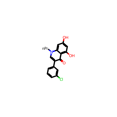 CCCn1cc(-c2cccc(Cl)c2)c(=O)c2c(O)cc(O)cc21